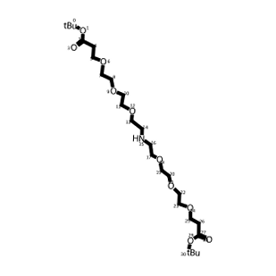 CC(C)(C)OC(=O)CCOCCOCCOCCNCCOCCOCCOCCC(=O)OC(C)(C)C